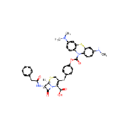 CNc1ccc2c(c1)Sc1cc(N(C)C)ccc1N2C(=O)Oc1ccc(CC2=C(C(=O)O)N3C(=O)[C@@H](NC(=O)Cc4ccccc4)[C@H]3SC2)cc1